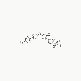 CCCc1cnc(N2CCC(Oc3ccn(-c4ccc(S(C)(=O)=O)c(C(F)(F)F)c4)c(=O)c3)CC2)nc1